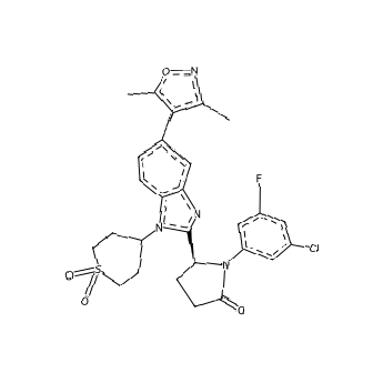 Cc1noc(C)c1-c1ccc2c(c1)nc([C@@H]1CCC(=O)N1c1cc(F)cc(Cl)c1)n2C1CCS(=O)(=O)CC1